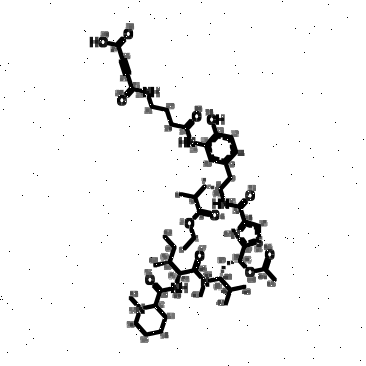 CCOC(=O)C(C)C[C@H](Cc1ccc(O)c(NC(=O)CCCNC(=O)C#CC(=O)O)c1)NC(=O)c1csc([C@@H](C[C@H](C(C)C)N(C)C(=O)[C@@H](NC(=O)C2CCCCN2C)[C@@H](C)CC)OC(C)=O)n1